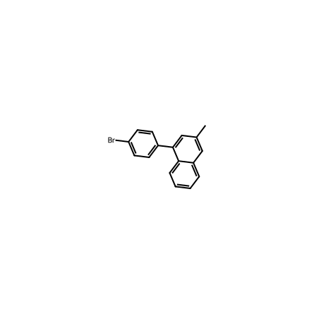 Cc1cc(-c2ccc(Br)cc2)c2ccccc2c1